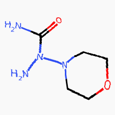 NC(=O)N(N)N1CCOCC1